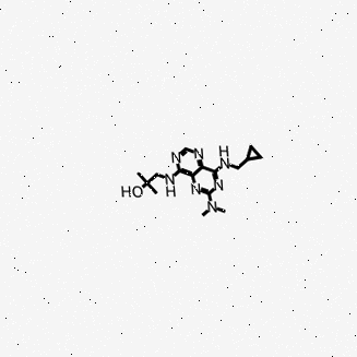 CN(C)c1nc(NCC2CC2)c2ncnc(NCC(C)(C)O)c2n1